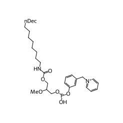 CCCCCCCCCCCCCCCCCCNC(=O)OCC(COP(O)Oc1cccc(C[n+]2ccccc2)c1)OC